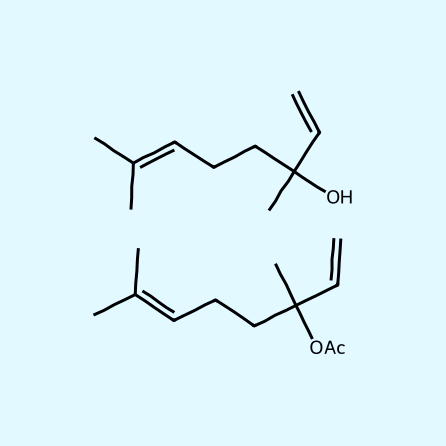 C=CC(C)(CCC=C(C)C)OC(C)=O.C=CC(C)(O)CCC=C(C)C